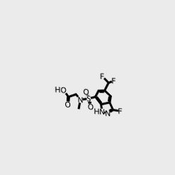 CN(CC(=O)O)S(=O)(=O)c1cc(C(F)F)cc2c(F)n[nH]c12